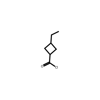 CCC1CC(C(=O)Cl)C1